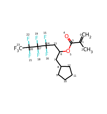 C=C(C)C(=O)OC(CC1CCCC1)CC(F)(F)C(F)(F)C(F)(F)C(F)(F)F